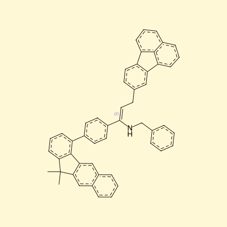 CC1(C)c2cc3ccccc3cc2-c2c(-c3ccc(/C(=C/Cc4ccc5c(c4)-c4cccc6cccc-5c46)NCc4ccccc4)cc3)cccc21